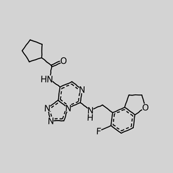 O=C(Nc1cnc(NCc2c(F)ccc3c2CCO3)n2cnnc12)C1CCCC1